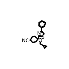 N#C[C@H]1CC[C@@](OCC2CC2)(c2nc(-c3ccccc3)cs2)CC1